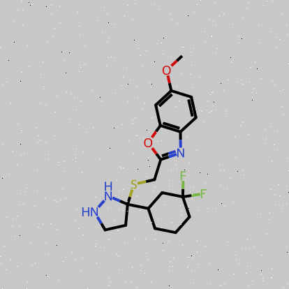 COc1ccc2nc(CSC3(C4CCCC(F)(F)C4)CCNN3)oc2c1